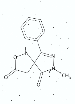 CN1N=C(c2ccccc2)C2(CC(=O)ON2)C1=O